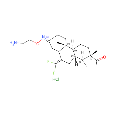 C[C@]12CC/C(=N/OCCN)CC1C(=C(F)F)C[C@@H]1[C@@H]2CC[C@]2(C)C(=O)CC[C@@H]12.Cl